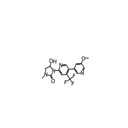 COc1cncc(-c2cnc(N3C(=O)N(C)CC3O)cc2C(F)(F)F)c1